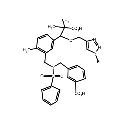 CCn1cc(COC(c2ccc(C)c(CN(Cc3cccc(C(=O)O)c3)S(=O)(=O)c3ccccc3)c2)C(C)(C)C(=O)O)nn1